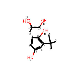 CC(C)(C)c1cc(O)ccc1O.CC(O)CO